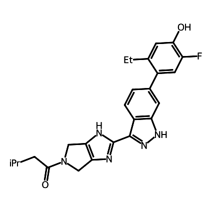 CCc1cc(O)c(F)cc1-c1ccc2c(-c3nc4c([nH]3)CN(C(=O)CC(C)C)C4)n[nH]c2c1